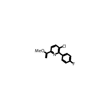 C=C(OC)c1ccc(Cl)c(-c2ccc(F)cc2)n1